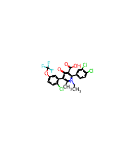 CCn1c(C)c(-c2cc(OC(F)(F)F)ccc2Cl)c(=O)c(C(=O)O)c1-c1ccc(Cl)c(Cl)c1